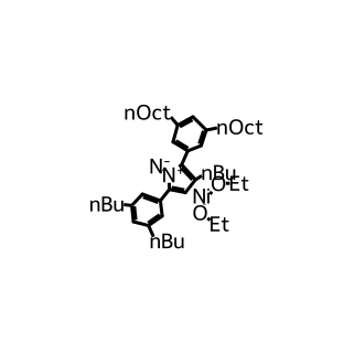 CCCCCCCCc1cc(CCCCCCCC)cc(C2=C(CCCC)C=C(c3cc(CCCC)cc(CCCC)c3)[N+]2=[N-])c1.CC[O][Ni][O]CC